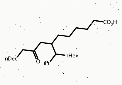 CCCCCCCCCCCC(=O)CC(CCCCCC(=O)O)C(CCCCCC)C(C)C